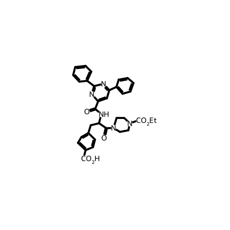 CCOC(=O)N1CCN(C(=O)C(Cc2ccc(C(=O)O)cc2)NC(=O)c2cc(-c3ccccc3)nc(-c3ccccc3)n2)CC1